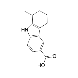 CC1CCCc2c1[nH]c1ccc(C(=O)O)cc21